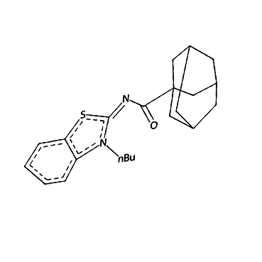 CCCCn1c(=NC(=O)C23CC4CC(CC(C4)C2)C3)sc2ccccc21